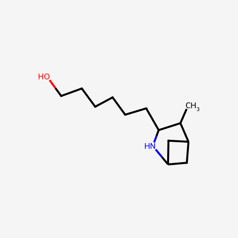 CC1C2CC(C2)NC1CCCCCCO